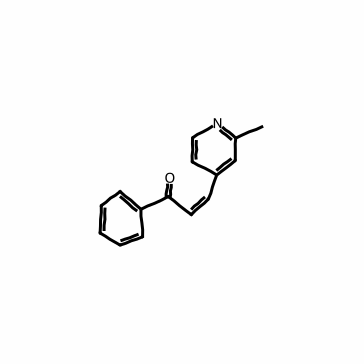 Cc1cc(/C=C\C(=O)c2ccccc2)ccn1